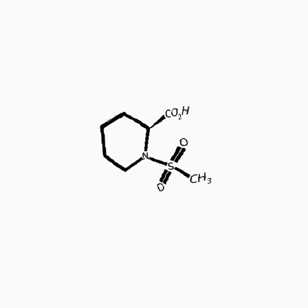 CS(=O)(=O)N1CCCC[C@H]1C(=O)O